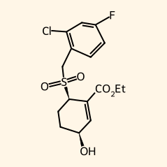 CCOC(=O)C1=C[C@@H](O)CC[C@H]1S(=O)(=O)Cc1ccc(F)cc1Cl